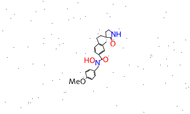 COc1ccc(CN(O)C(=O)c2ccc3c(c2)C[C@@]2(CCNC2=O)CC3)cc1